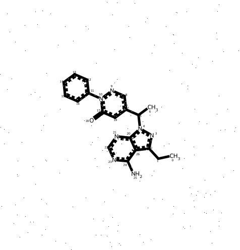 CCc1nn(C(C)c2cnn(-c3ccccc3)c(=O)c2)c2ncnc(N)c12